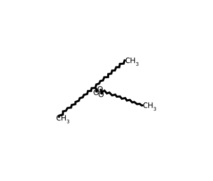 CCCCCCCCCCCCCCCCCCC(CCCCCCCCCCCCCCCC)C(=O)OC(=O)CCCCCCCCCCCCCCCCC